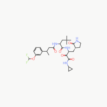 CC(CC(=O)NC(CC(C)(C)C)C(=O)NC(C[C@@H]1CCNC1=O)C(=O)C(=O)NC1CC1)c1cccc(OC(F)F)c1